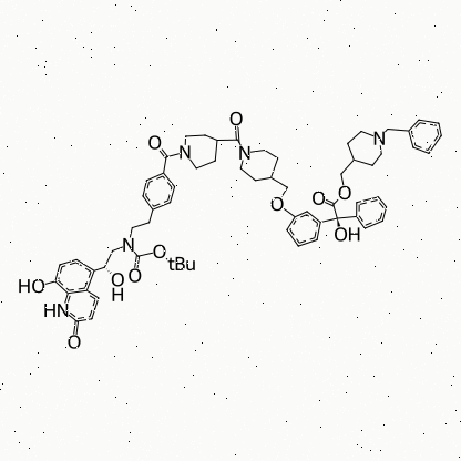 CC(C)(C)OC(=O)N(CCc1ccc(C(=O)N2CCC(C(=O)N3CCC(COc4cccc([C@](O)(C(=O)OCC5CCN(Cc6ccccc6)CC5)c5ccccc5)c4)CC3)CC2)cc1)C[C@H](O)c1ccc(O)c2[nH]c(=O)ccc12